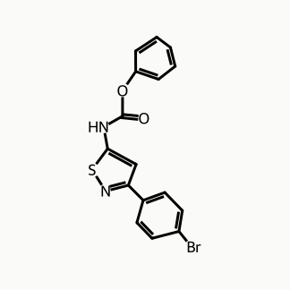 O=C(Nc1cc(-c2ccc(Br)cc2)ns1)Oc1ccccc1